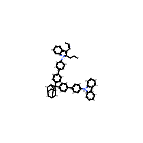 C/C=C\c1c(CCC)n(-c2ccc(-c3ccc(C4(c5ccc(-c6ccc(-n7c8ccccc8c8ccccc87)cc6)cc5)C5CC6CC(C5)CC4C6)cc3)cc2)c2ccccc12